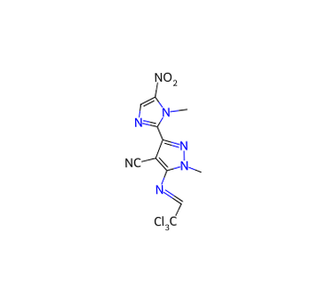 Cn1nc(-c2ncc([N+](=O)[O-])n2C)c(C#N)c1N=CC(Cl)(Cl)Cl